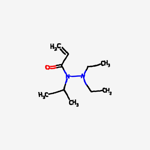 C=CC(=O)N(C(C)C)N(CC)CC